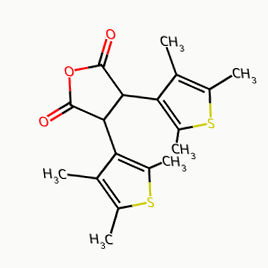 Cc1sc(C)c(C2C(=O)OC(=O)C2c2c(C)sc(C)c2C)c1C